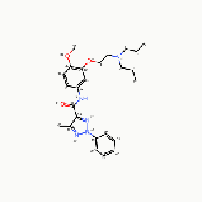 CCCN(CCC)CCOc1cc(NC(=O)c2nn(-c3ccccc3)nc2C)ccc1OC